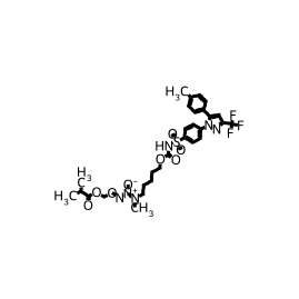 Cc1ccc(-c2cc(C(F)(F)F)nn2-c2ccc(S(=O)(=O)NC(=O)OCCCCCN(C)[N+]([O-])=NOCOC(=O)C(C)C)cc2)cc1